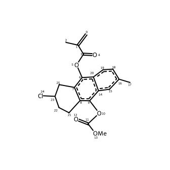 C=C(C)C(=O)Oc1c2c(c(OC(=O)OC)c3cc(C)ccc13)CCC(Cl)C2